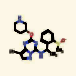 CC(C)c1cnn2c(NC(C)c3ccccc3[S+](C)[O-])nc(O[C@@H]3CCCNC3)nc12